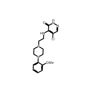 COc1ccccc1N1CCN(CCNc2c(Cl)cn[nH]c2=O)CC1